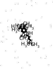 CCOc1cc(C(C)(C)C)c(C(C)(C)C)cc1NC(=O)/C=C/CN(C)C